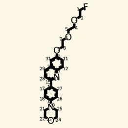 FCCOCCOCCOc1ccc2nc(-c3ccc(N4CCOCC4)cc3)ccc2c1